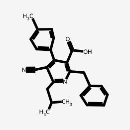 Cc1ccc(-c2c(C#N)c(CC(C)C)nc(Cc3ccccc3)c2C(=O)O)cc1